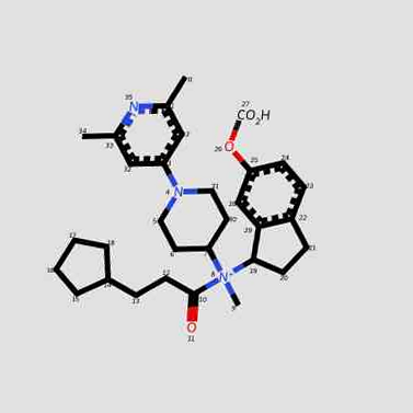 Cc1cc(N2CCC([N+](C)(C(=O)CCC3CCCC3)C3CCc4ccc(OC(=O)O)cc43)CC2)cc(C)n1